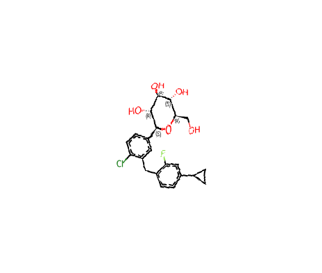 OC[C@H]1O[C@@H](c2ccc(Cl)c(Cc3ccc(C4CC4)cc3F)c2)[C@H](O)[C@@H](O)[C@@H]1O